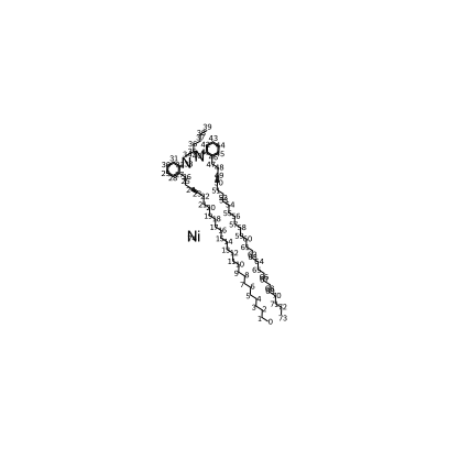 CCCCCCCCCCCCCCCCCCCCCCCC#CCCc1ccccc1N=CC(CCCC)=Nc1ccccc1CCC#CCCCCCCCCCCCCCCCCCCCCCCC.[Ni]